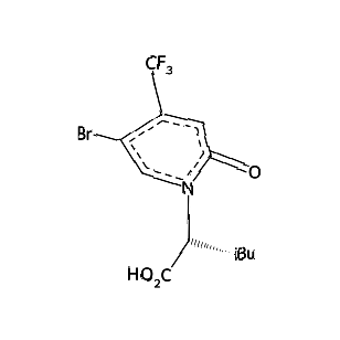 CC[C@@H](C)C(C(=O)O)n1cc(Br)c(C(F)(F)F)cc1=O